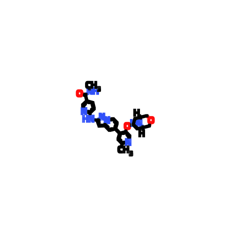 CNC(=O)c1ccc(Nc2cc3cc(-c4cc(C)ncc4O[C@H]4C[C@H]5COC[C@@H](C4)N5)ccn3n2)nc1